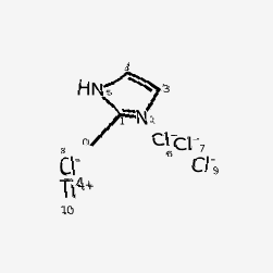 Cc1ncc[nH]1.[Cl-].[Cl-].[Cl-].[Cl-].[Ti+4]